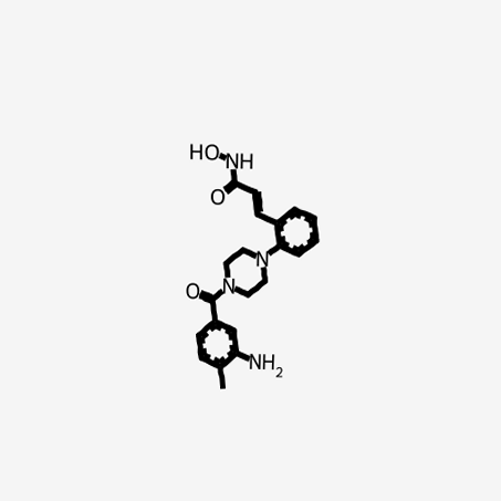 Cc1ccc(C(=O)N2CCN(c3ccccc3C=CC(=O)NO)CC2)cc1N